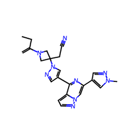 C=C(CC)N1CC(CC#N)(n2cc(-c3nc(-c4cnn(C)c4)cn4nccc34)cn2)C1